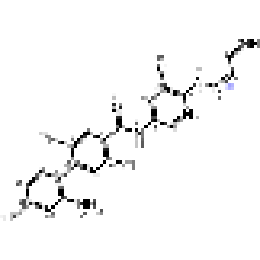 N=C/C=N\Nc1ncc(NC(=O)c2cc(F)c(-c3ccc(F)cc3N)cc2Cl)cc1Cl